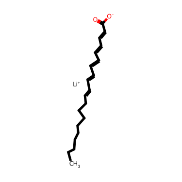 CCCCCCCCC/C=C/C=C/C=C/C=C/C=C/C(=O)[O-].[Li+]